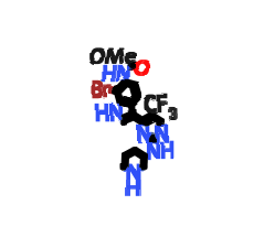 COC(=O)Nc1ccc2c(-c3nc(N[C@@H]4CCCNC4)ncc3C(F)(F)F)c[nH]c2c1Br